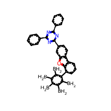 Bc1c(B)c(B)c(-c2cccc3c2oc2cc(-c4nc(-c5ccccc5)nc(-c5ccccc5)n4)ccc23)c(B)c1B